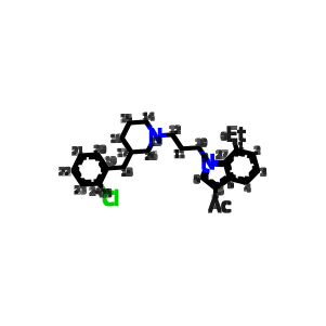 CCc1cccc2c(C(C)=O)cn(CCCN3CCCC(Cc4ccccc4Cl)C3)c12